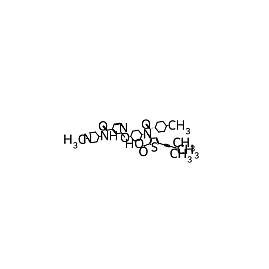 CN1CCC(NC(=O)c2ccnc(O[C@H]3CC[C@H](N(c4cc(C#CC(C)(C)C)sc4C(=O)O)C(=O)[C@H]4CC[C@H](C)CC4)CC3)c2)CC1